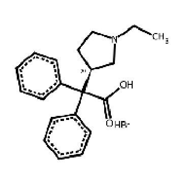 Br.CCN1CC[C@H](C(C(=O)O)(c2ccccc2)c2ccccc2)C1